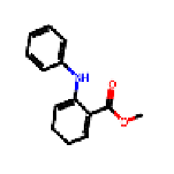 COC(=O)C1=CCCC=C1Nc1ccccc1